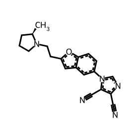 C[C@@H]1CCCN1CCc1cc2cc(-n3cnc(C#N)c3C#N)ccc2o1